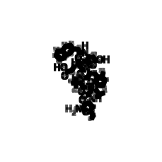 CCCCC(NC(=O)[C@H](CC(C)C)NC(=O)[C@@H](NC(=O)[C@H](Cc1ccccc1C)NC(=O)[C@H](CCC(=O)O)NC(=O)[C@H](CC(=O)O)NC(=O)Cc1ccc2ccccc2c1)C(C)(C)C)C(=O)C(N)=O